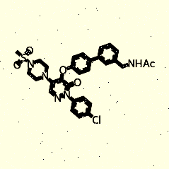 CC(=O)NCc1cccc(-c2ccc(Oc3c(N4CCN(S(C)(=O)=O)CC4)cnn(-c4ccc(Cl)cc4)c3=O)cc2)c1